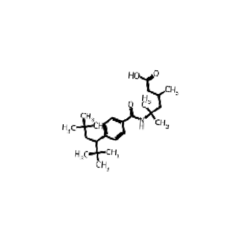 CC(CC(=O)O)CC(C)(C)NC(=O)c1ccc(C(CC(C)(C)C)C(C)(C)C)cc1